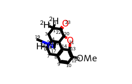 [2H]C1([2H])C[C@@]2([2H])[C@H]3Cc4ccc(OC)c5c4[C@@]2(CCN3C)C(O5)C1=O